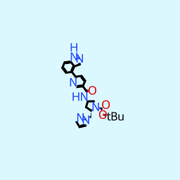 CC(C)(C)OC(=O)N1C[C@H](NC(=O)c2ccc(-c3cccc4[nH]ncc34)nc2)C[C@H]1Cn1cccn1